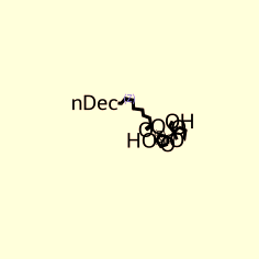 CCCCCCCCCCC/C=C\CCCCC(=O)O[C@@H]1[C@@H](O)CO[C@@H]1C1(CO)OCCO1